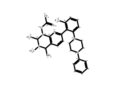 CN1C(N)c2ccc(-c3c(N4CCN(c5ccccc5)CC4)cccc3C(F)(F)F)nc2N(OC(=O)C(F)(F)F)C1N